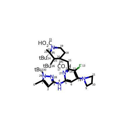 Cc1cc(Nc2cc(N3CCC3)c(F)c(C[C@]3(C(=O)O)CCN(C(=O)O)[C@@](C)(C(C)(C)C)C3C(C)(C)C)n2)nn1C(C)(C)C